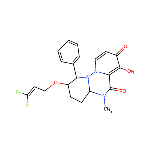 CN1C(=O)c2c(O)c(=O)ccn2N2C(c3ccccc3)C(OCC=C(F)F)CCC12